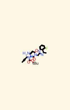 CC#CCN(C(=O)OC(C)(C)C)n1c(N)cc(=O)n(Cc2nc(C)c3c(F)cccc3n2)c1=O